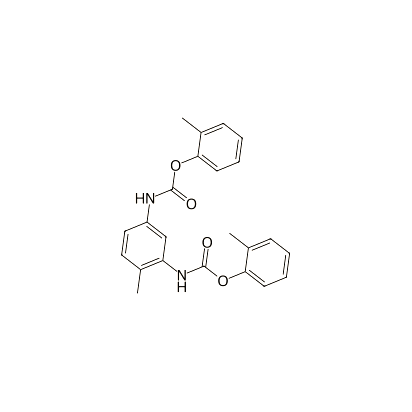 Cc1ccc(NC(=O)Oc2ccccc2C)cc1NC(=O)Oc1ccccc1C